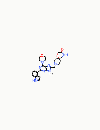 CCn1c(CN2CCC3(CC2)CNC(=O)CO3)nc2c(N3CCOCC3)nc(-c3cccc4[nH]ccc34)nc21